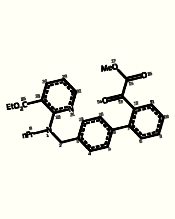 CCCN(Cc1ccc(-c2ccccc2C(=O)C(=O)OC)cc1)c1ncccc1C(=O)OCC